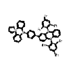 CC(C)c1cc(C(C)C)c(B2c3ccccc3B(c3c(C(C)C)cc(C(C)C)cc3C(C)C)c3cc(-c4ccc(N5c6ccccc6[Si]6(C=CC=C6)c6ccccc65)cc4)ccc32)c(C(C)C)c1